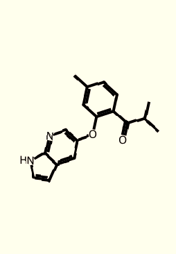 Cc1ccc(C(=O)C(C)C)c(Oc2cnc3[nH]ccc3c2)c1